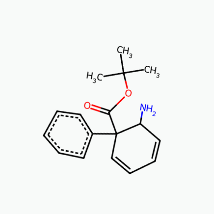 CC(C)(C)OC(=O)C1(c2ccccc2)C=CC=CC1N